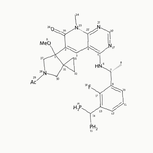 COC1(c2cc3c(N[C@H](C)c4cccc(C(P)P)c4F)ncnc3n(C)c2=O)CN(C(C)=O)CC12CC2